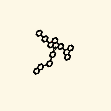 c1ccc(-c2ccc(-c3ccc(N(c4ccc(-c5cccc(-c6ccc7ccccc7c6)c5)cc4)c4cc(-c5cc6ccccc6c6ccccc56)ccc4-c4ccccc4)cc3)cc2)cc1